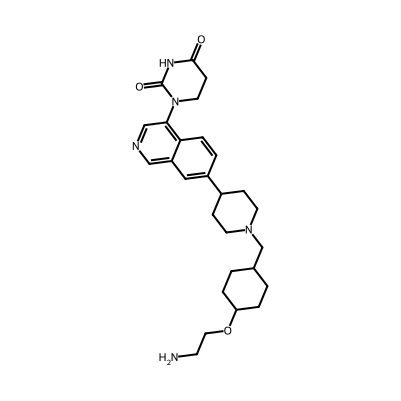 NCCOC1CCC(CN2CCC(c3ccc4c(N5CCC(=O)NC5=O)cncc4c3)CC2)CC1